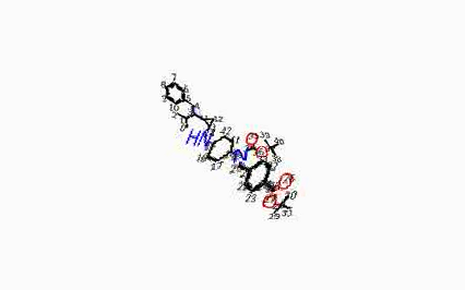 CC(C)/C(=C\c1ccccc1)C1CC1N[C@H]1CC[C@@H](N(Cc2ccc(C(=O)OC(C)(C)C)cc2)C(=O)OC(C)(C)C)CC1